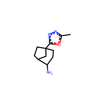 Cc1nnc(C23CCC(N)C(CC2)C3)o1